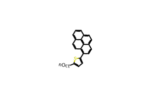 CCCCCCCCc1ccc(-c2ccc3ccc4cccc5ccc2c3c45)s1